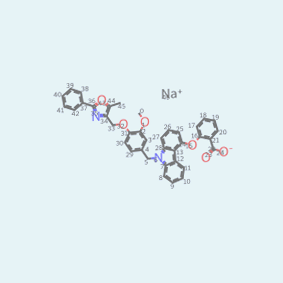 COc1cc(Cn2c3ccccc3c3c(Oc4ccccc4C(=O)[O-])cccc32)ccc1OCc1nc(-c2ccccc2)oc1C.[Na+]